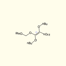 CCCCCCCC/C(OCCCC)=C(\OCCCC)OCOC